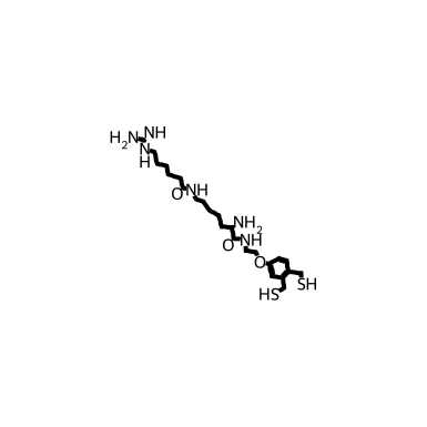 N=C(N)NCCCCCC(=O)NCCCCC[C@@H](N)C(=O)NCCOc1ccc(CS)c(CS)c1